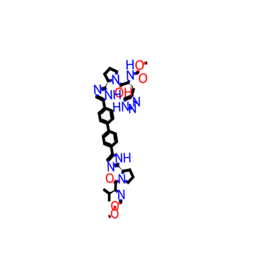 COO/C=N\[C@H](C(=O)N1CCC[C@H]1c1ncc(-c2ccc(-c3ccc(-c4cnc([C@@H]5CCCN5C(O)[C@@H](Cc5c[nH]nn5)NC(=O)OC)[nH]4)cc3)cc2)[nH]1)C(C)C